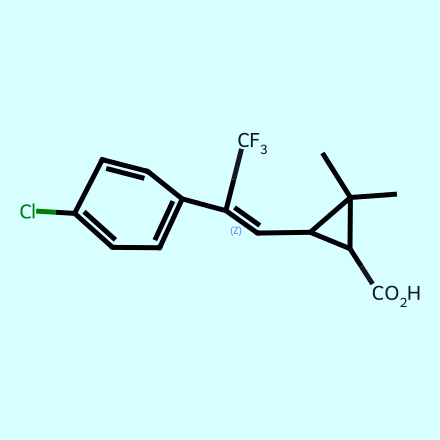 CC1(C)C(/C=C(/c2ccc(Cl)cc2)C(F)(F)F)C1C(=O)O